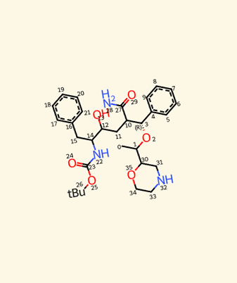 CC(O[C@@H](c1ccccc1)C(CC(O)C(Cc1ccccc1)NC(=O)OC(C)(C)C)C(N)=O)C1CNCCO1